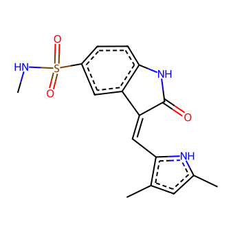 CNS(=O)(=O)c1ccc2c(c1)C(=Cc1[nH]c(C)cc1C)C(=O)N2